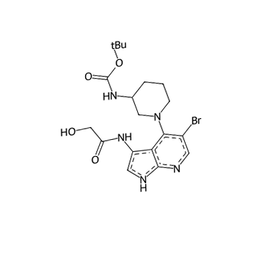 CC(C)(C)OC(=O)NC1CCCN(c2c(Br)cnc3[nH]cc(NC(=O)CO)c23)C1